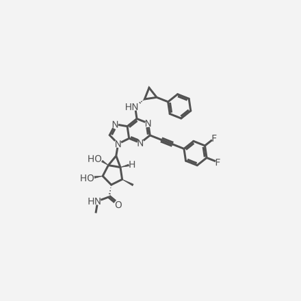 CNC(=O)[C@H]1[C@H](C)[C@H]2C(n3cnc4c(N[C@@H]5CC5c5ccccc5)nc(C#Cc5ccc(F)c(F)c5)nc43)[C@@]2(O)[C@@H]1O